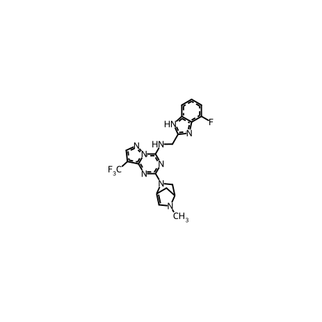 CN1C=C2CC1CN2c1nc(NCc2nc3c(F)cccc3[nH]2)n2ncc(C(F)(F)F)c2n1